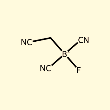 N#CC[B-](F)(C#N)C#N